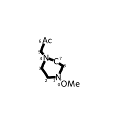 CON1CCN(CC(C)=O)CC1